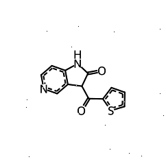 O=C1Nc2ccncc2C1C(=O)c1cccs1